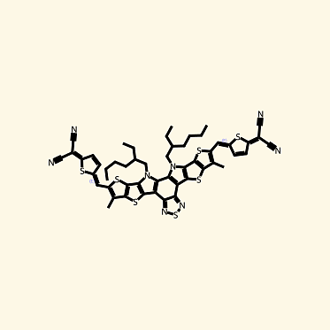 CCCCC(CC)Cn1c2c3sc(/C=c4\ccc(=C(C#N)C#N)s4)c(C)c3sc2c2c3nsnc3c3c4sc5c(C)c(/C=c6\ccc(=C(C#N)C#N)s6)sc5c4n(CC(CC)CCCC)c3c21